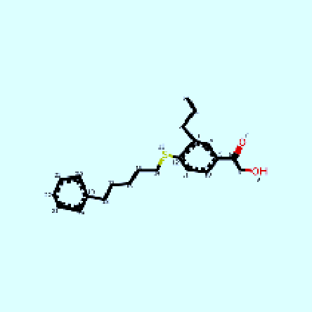 CCCc1cc(C(=O)CO)ccc1SCCCCCc1ccccc1